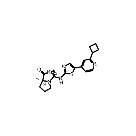 C[C@@]1(C(N)=O)CCCN1C(=O)Nc1ncc(-c2ccnc(C3CCC3)c2)s1